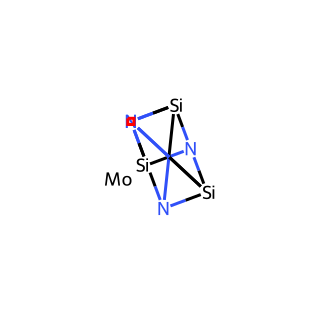 N12[Si]34N5[Si]16N3[Si]25N46.[Mo]